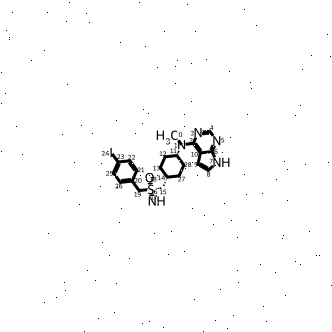 CN(c1ncnc2[nH]ccc12)[C@H]1CC[C@@H](C[S@@](=N)(=O)Cc2ccc(I)cc2)CC1